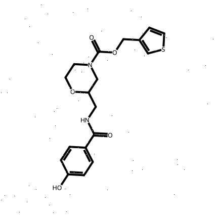 O=C(NCC1CN(C(=O)OCc2ccsc2)CCO1)c1ccc(O)cc1